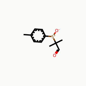 Cc1ccc([S+]([O-])C(C)(C)C=O)cc1